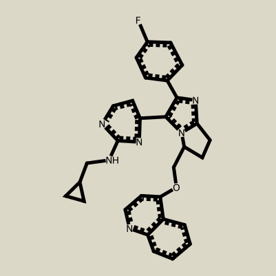 Fc1ccc(-c2nc3n(c2-c2ccnc(NCC4CC4)n2)C(COc2ccnc4ccccc24)CC3)cc1